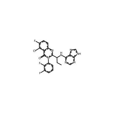 CCC(Nc1ncnc2[nH]cnc12)c1nc2ccc(F)c(Cl)c2c(=O)n1-c1cccc(F)c1F